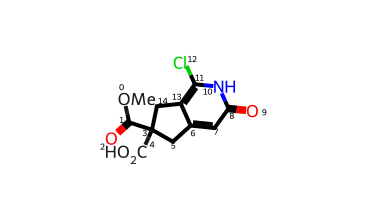 COC(=O)C1(C(=O)O)Cc2cc(=O)[nH]c(Cl)c2C1